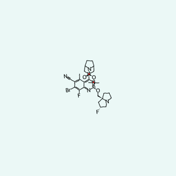 Cc1c(C#N)c(Br)c(F)c2nc(OC[C@@]34CCCN3C[C@H](F)C4)nc(N3CC4CCC(C3)N4C(=O)OC(C)(C)C)c12